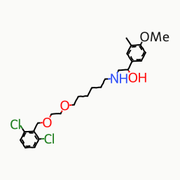 COc1ccc([C@@H](O)CNCCCCCCOCCOCc2c(Cl)cccc2Cl)cc1C